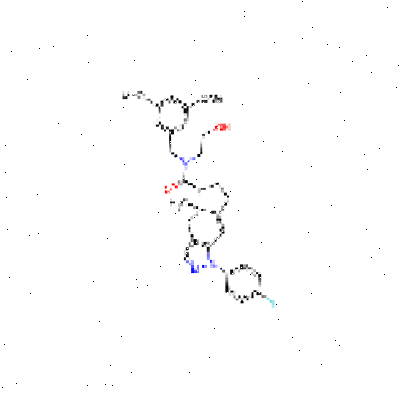 COc1cc(CN(CCO)C(=O)[C@H]2CCC3=Cc4c(cnn4-c4ccc(F)cc4)C[C@@]32C)cc(OC)c1